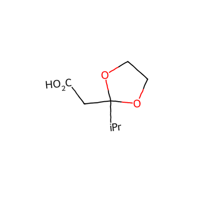 CC(C)C1(CC(=O)O)OCCO1